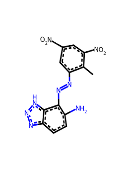 Cc1c(N=Nc2c(N)ccc3nn[nH]c23)cc([N+](=O)[O-])cc1[N+](=O)[O-]